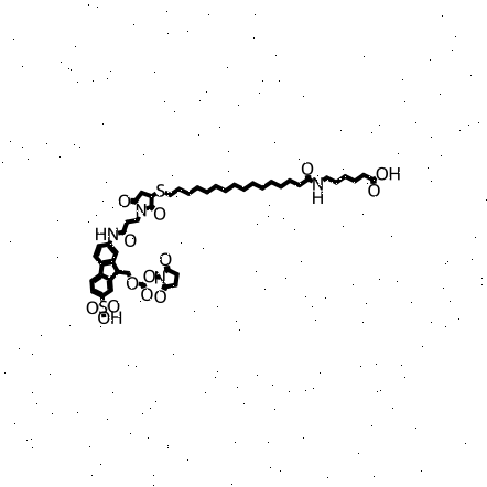 O=C(O)CCCCCNC(=O)CCCCCCCCCCCCCCCSC1CC(=O)N(CCC(=O)Nc2ccc3c(c2)C(COC(=O)ON2C(=O)CCC2=O)c2cc(S(=O)(=O)O)ccc2-3)C1=O